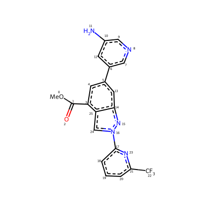 COC(=O)c1cc(-c2cncc(N)c2)cc2nn(-c3cccc(C(F)(F)F)n3)cc12